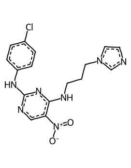 O=[N+]([O-])c1cnc(Nc2ccc(Cl)cc2)nc1NCCCn1ccnc1